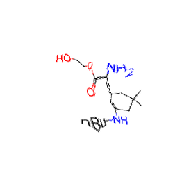 CCCCNC1=C/C(=C(/N)C(=O)OCCO)CC(C)(C)C1